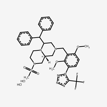 COc1ccc(-n2nnnc2C(F)(F)F)c(OC)c1CN1CC(C(c2ccccc2)c2ccccc2)N2CCN(S(C)(=O)=O)C[C@H]2C1.Cl.Cl